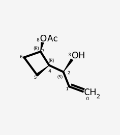 C=C[C@H](O)[C@H]1CC[C@H]1OC(C)=O